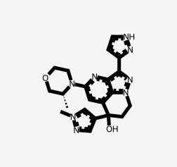 C[C@@H]1COCCN1c1cc2c3c(n1)c(-c1cc[nH]n1)nn3CCC2(O)c1cnn(C)c1